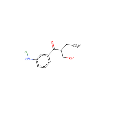 O=C(O)CC(CO)C(=O)c1cccc(NCl)c1